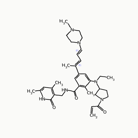 C=CC(=O)N1CCC(N(CC)c2cc(/C(C)=C/C=C/N3CCN(C)CC3)cc(C(=O)NCc3c(C)cc(C)[nH]c3=O)c2C)C1